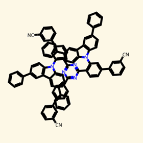 N#Cc1cccc(-c2ccc(-c3nc(-c4ccc(-c5cccc(C#N)c5)cc4-n4c5ccc(-c6ccccc6)cc5c5cc(-c6ccccc6)ccc54)nc(-c4ccc(-c5cccc(C#N)c5)cc4-n4c5ccc(-c6ccccc6)cc5c5cc(-c6ccccc6)ccc54)n3)cc2)c1